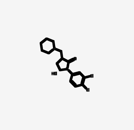 Cl.O=C1C(CN2CCCCC2)CCN1c1ccc(Cl)c(Cl)c1